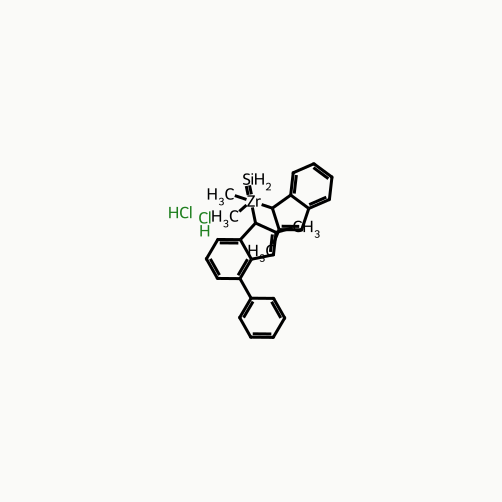 CC1=Cc2ccccc2[CH]1[Zr]([CH3])([CH3])(=[SiH2])[CH]1C(C)=Cc2c(-c3ccccc3)cccc21.Cl.Cl